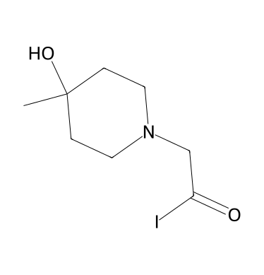 CC1(O)CCN(CC(=O)I)CC1